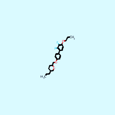 C/C=C/C1CCC(COc2ccc(-c3ccc(OCCC)c(F)c3F)cc2)OC1